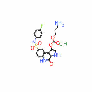 CN(c1ccc(F)cc1)S(=O)(=O)c1ccc2[nH]c(=O)c3[nH]cc(OC(=O)OCCCN)c3c2c1.Cl